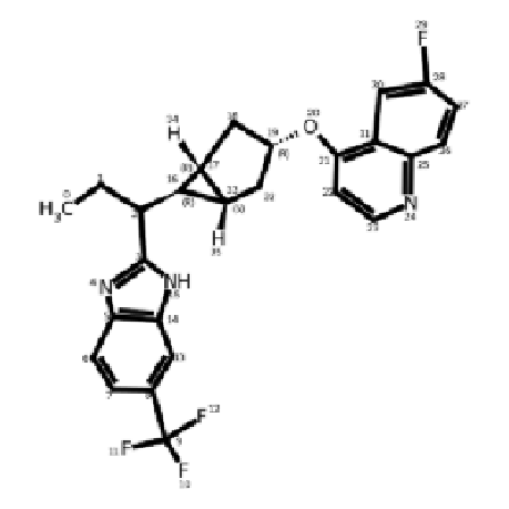 CCC(c1nc2ccc(C(F)(F)F)cc2[nH]1)[C@H]1[C@@H]2C[C@H](Oc3ccnc4ccc(F)cc34)C[C@@H]21